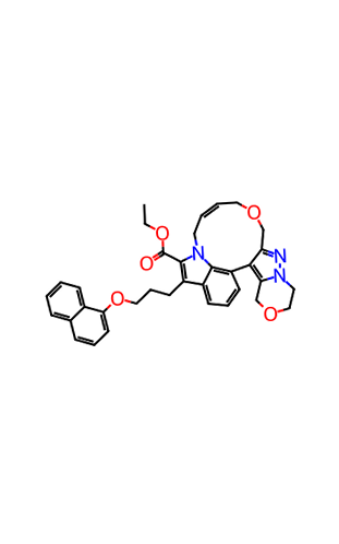 CCOC(=O)c1c(CCCOc2cccc3ccccc23)c2cccc3c2n1C/C=C\COCc1nn2c(c1-3)COCC2